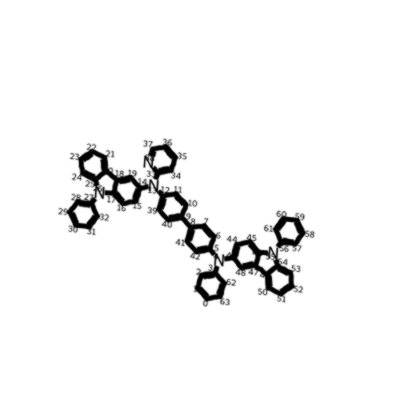 c1ccc(N(c2ccc(-c3ccc(N(c4ccc5c(c4)c4ccccc4n5-c4ccccc4)c4ccccn4)cc3)cc2)c2ccc3c(c2)c2ccccc2n3-c2ccccc2)cc1